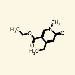 CCOC(=O)c1cn(C)c(=O)cc1CC